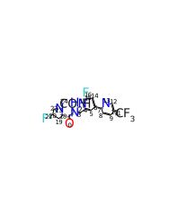 O=C(NCc1cc(-c2ccc(C(F)(F)F)cn2)cc(F)n1)[C@@H]1C[C@@H](F)CN1C(=O)O